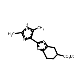 CCOC(=O)C1CCc2nc(-c3nc(C)[nH]c3C)sc2C1